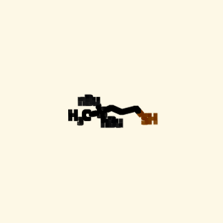 CCCC[Si](C)(CCCC)CCCS